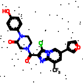 O=C(c1nc2c(C(F)(F)F)cc(-c3ccoc3)cn2c1Cl)N1CCN(c2ccc(O)cc2)C(=O)C1